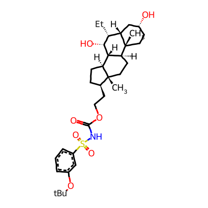 CC[C@H]1[C@@H](O)[C@@H]2[C@H](CC[C@]3(C)[C@@H](CCOC(=O)NS(=O)(=O)c4cccc(OC(C)(C)C)c4)CC[C@@H]23)[C@@]2(C)CC[C@@H](O)C[C@@H]12